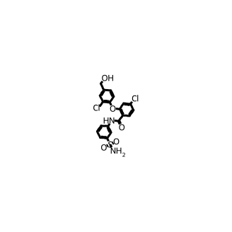 NS(=O)(=O)c1cccc(NC(=O)c2ccc(Cl)cc2Oc2ccc(CO)cc2Cl)c1